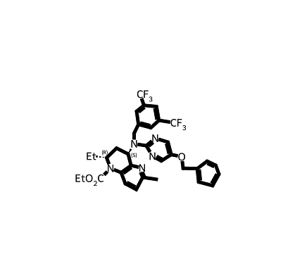 CCOC(=O)N1c2ccc(C)nc2[C@@H](N(Cc2cc(C(F)(F)F)cc(C(F)(F)F)c2)c2ncc(OCc3ccccc3)cn2)C[C@H]1CC